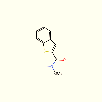 CON(C)C(=O)c1cc2ccccc2s1